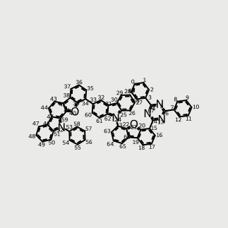 c1ccc(-c2nc(-c3ccccc3)nc(-c3cccc4c3oc3c(-n5c6ccccc6c6cc(-c7cccc8c7oc7c8ccc8c9ccccc9n(-c9ccccc9)c87)ccc65)cccc34)n2)cc1